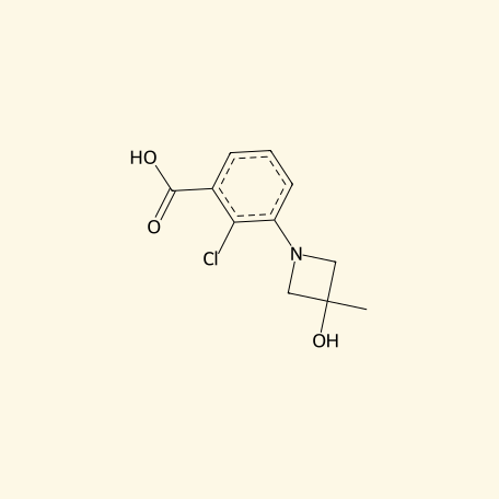 CC1(O)CN(c2cccc(C(=O)O)c2Cl)C1